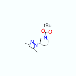 Cc1cc(C)n(C2CCCN(C(=O)OC(C)(C)C)C2)n1